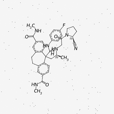 CNC(=O)c1ccc2c(c1)CCc1cc(C(=O)NC)ccc1C2(C[C@H](C)NCC(=O)N1CCC[C@H]1C#N)C(=N)Nc1ccc(F)cc1